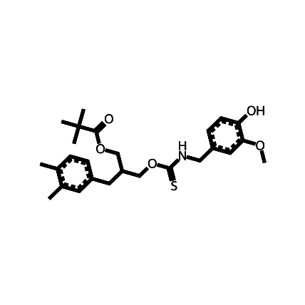 COc1cc(CNC(=S)OCC(COC(=O)C(C)(C)C)Cc2ccc(C)c(C)c2)ccc1O